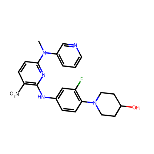 CN(c1cccnc1)c1ccc([N+](=O)[O-])c(Nc2ccc(N3CCC(O)CC3)c(F)c2)n1